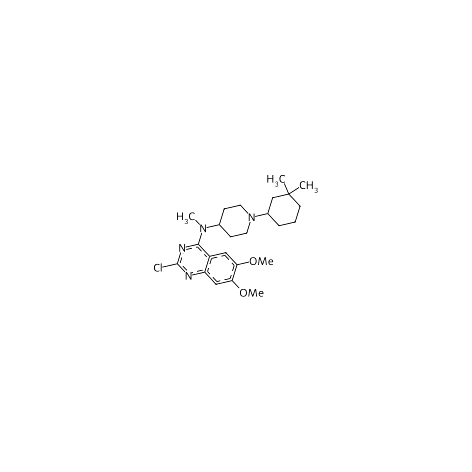 COc1cc2nc(Cl)nc(N(C)C3CCN(C4CCCC(C)(C)C4)CC3)c2cc1OC